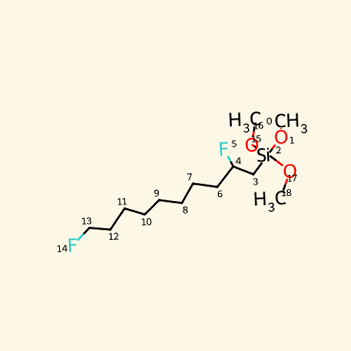 CO[Si](CC(F)CCCCCCCCF)(OC)OC